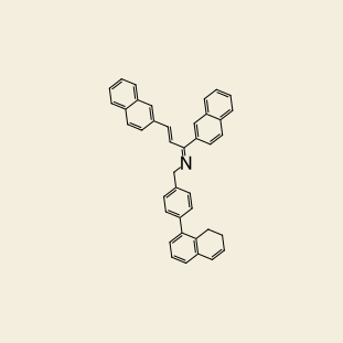 C1=Cc2cccc(-c3ccc(C/N=C(\C=C\c4ccc5ccccc5c4)c4ccc5ccccc5c4)cc3)c2CC1